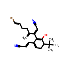 C=C(CC/C=C/Br)/C(=C\C#N)C1=C(O)C(C(C)(C)C)CC=C1/C=C/C#N